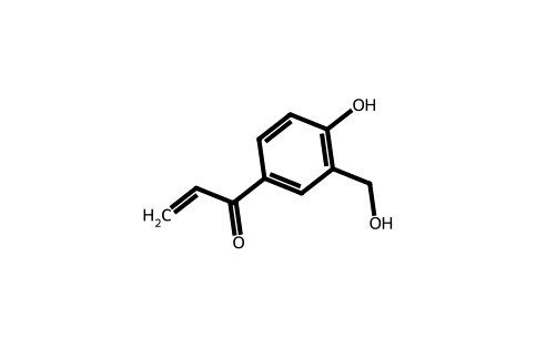 C=CC(=O)c1ccc(O)c(CO)c1